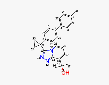 Cc1ccc(-c2ccc(C3(c4nnc5c(C(C)(C)O)cccn45)CC3)cc2)cc1